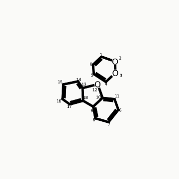 C1=COOC=C1.c1ccc2c(c1)oc1ccccc12